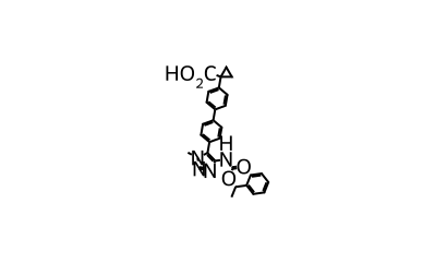 CC(OC(=O)Nc1nnn(C)c1-c1ccc(-c2ccc(C3(C(=O)O)CC3)cc2)cc1)c1ccccc1